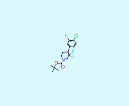 CC(C)(C)OC(=O)N1CCC(c2ccc(Cl)c(F)c2)C(F)(F)C1